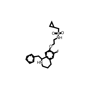 O=S(=O)(CC1CC1)NCCOc1cc2c(cc1F)CCCNC2Cc1ccccc1